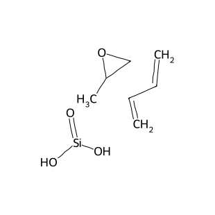 C=CC=C.CC1CO1.O=[Si](O)O